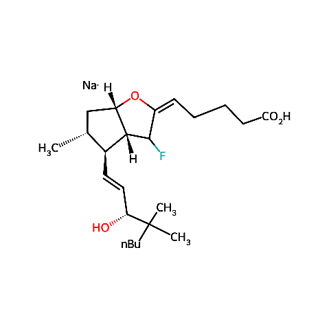 CCCCC(C)(C)[C@H](O)C=C[C@@H]1[C@H]2C(F)C(=CCCCC(=O)O)O[C@H]2C[C@H]1C.[Na]